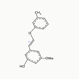 COc1cc(O)cc(/C=C/Oc2cccc(C)c2)c1